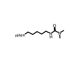 CCCCCCCCCCCNC(=O)N(C)C